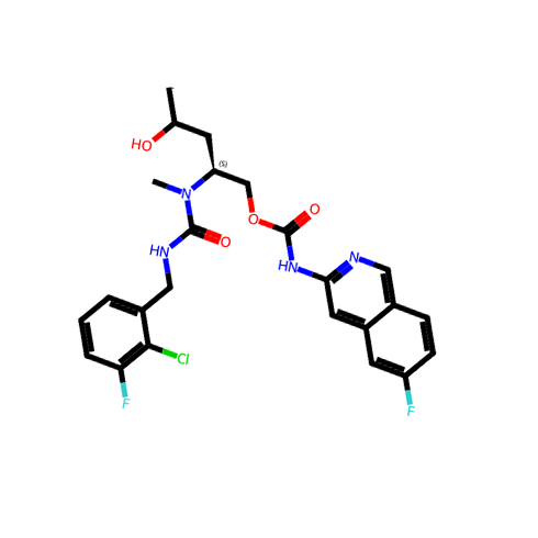 [CH2]C(O)C[C@@H](COC(=O)Nc1cc2cc(F)ccc2cn1)N(C)C(=O)NCc1cccc(F)c1Cl